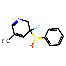 [O-][S+](c1ccccc1)C1(F)C=C(C(F)(F)F)C=NC1